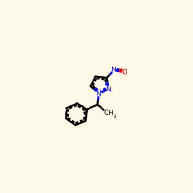 CC(c1ccccc1)n1ccc(N=O)n1